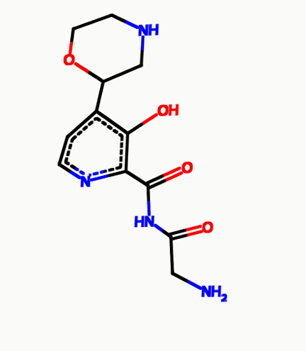 NCC(=O)NC(=O)c1nccc(C2CNCCO2)c1O